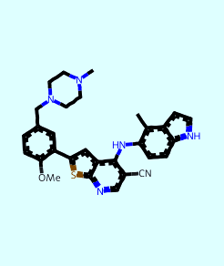 COc1ccc(CN2CCN(C)CC2)cc1-c1cc2c(Nc3ccc4[nH]ccc4c3C)c(C#N)cnc2s1